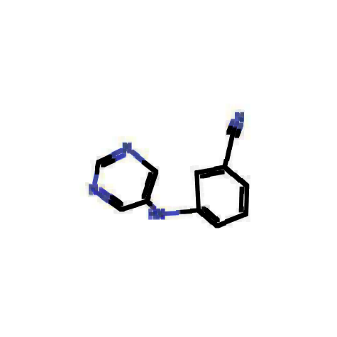 N#Cc1cccc(Nc2cncnc2)c1